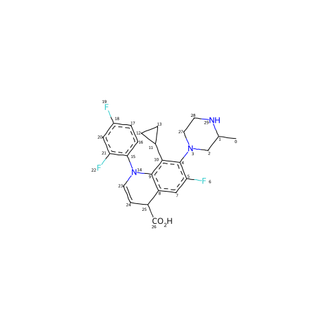 CC1CN(c2c(F)cc3c(c2C2CC2)N(c2ccc(F)cc2F)C=CC3C(=O)O)CCN1